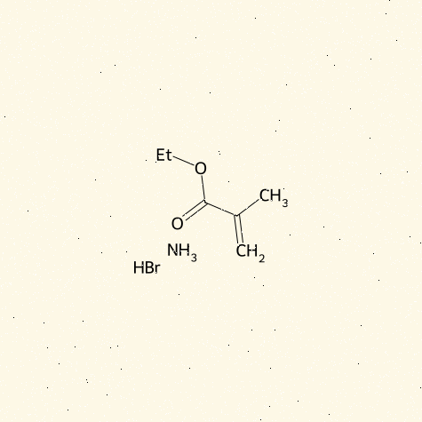 Br.C=C(C)C(=O)OCC.N